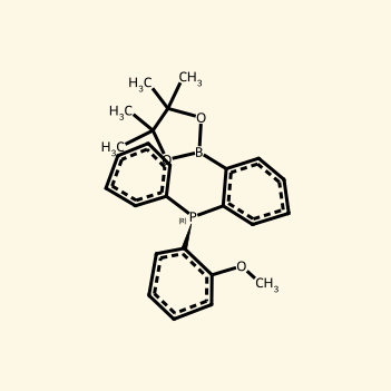 COc1ccccc1[P@@](c1ccccc1)c1ccccc1B1OC(C)(C)C(C)(C)O1